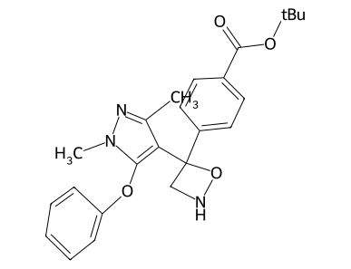 Cc1nn(C)c(Oc2ccccc2)c1C1(c2ccc(C(=O)OC(C)(C)C)cc2)CNO1